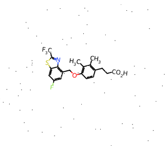 Cc1c(CCC(=O)O)ccc(OCc2cc(F)cc3sc(C(F)(F)F)nc23)c1C